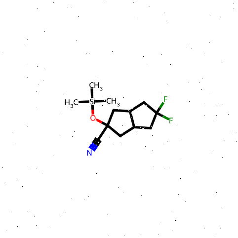 C[Si](C)(C)OC1(C#N)CC2CC(F)(F)CC2C1